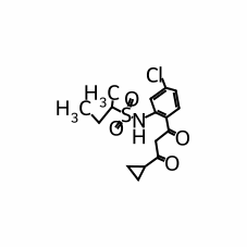 CCC(C)S(=O)(=O)Nc1cc(Cl)ccc1C(=O)CC(=O)C1CC1